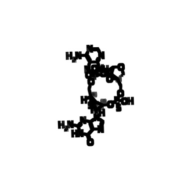 Nc1nc2c(ncn2[C@@H]2S[C@@H]3COP(=O)(O)O[C@H]4C5OC[C@]4(COP(O)(=S)O[C@@H]2[C@H]3F)O[C@H]5n2cnc3c(N)ncnc32)c(=O)[nH]1